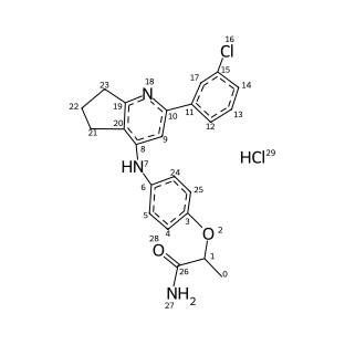 CC(Oc1ccc(Nc2cc(-c3cccc(Cl)c3)nc3c2CCC3)cc1)C(N)=O.Cl